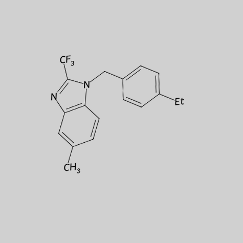 CCc1ccc(Cn2c(C(F)(F)F)nc3cc(C)ccc32)cc1